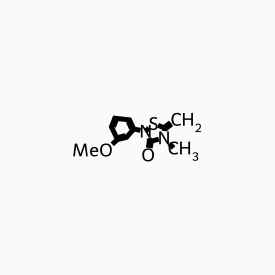 C=C1SN(c2cccc(OC)c2)C(=O)N1C